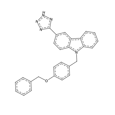 c1ccc(COc2ccc(Cn3c4ccccc4c4cc(-c5nn[nH]n5)ccc43)cc2)cc1